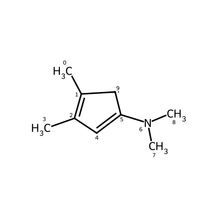 CC1=C(C)C=C(N(C)C)[CH]1